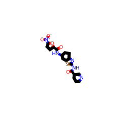 O=C(Nc1nc2ccc(NC(=O)c3ccc([N+](=O)[O-])o3)cc2s1)c1cccnc1